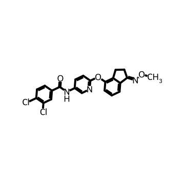 CON=C1CCc2c(Oc3ccc(NC(=O)c4ccc(Cl)c(Cl)c4)cn3)cccc21